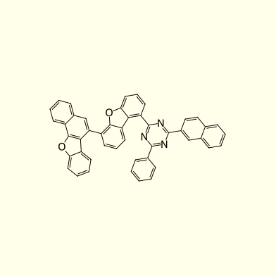 c1ccc(-c2nc(-c3ccc4ccccc4c3)nc(-c3cccc4oc5c(-c6cc7ccccc7c7oc8ccccc8c67)cccc5c34)n2)cc1